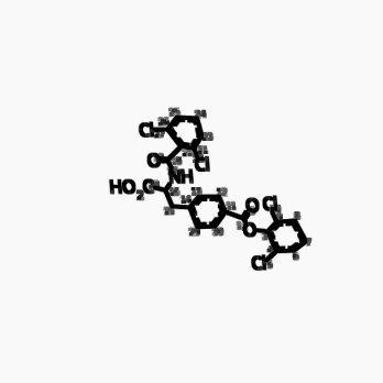 O=C(Oc1c(Cl)cccc1Cl)c1ccc(CC(NC(=O)c2c(Cl)cccc2Cl)C(=O)O)cc1